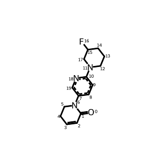 O=C1C=CCCN1c1ccc(N2CCCC(F)C2)nc1